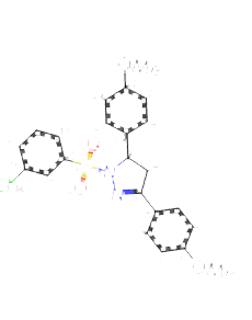 COc1ccc(C2=NN(S(=O)(=O)c3cccc(Cl)c3)C(c3ccc(OC)cc3)C2)cc1